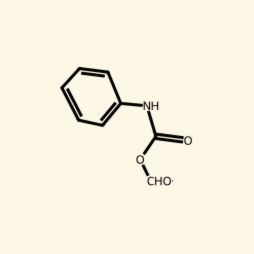 O=[C]OC(=O)Nc1ccccc1